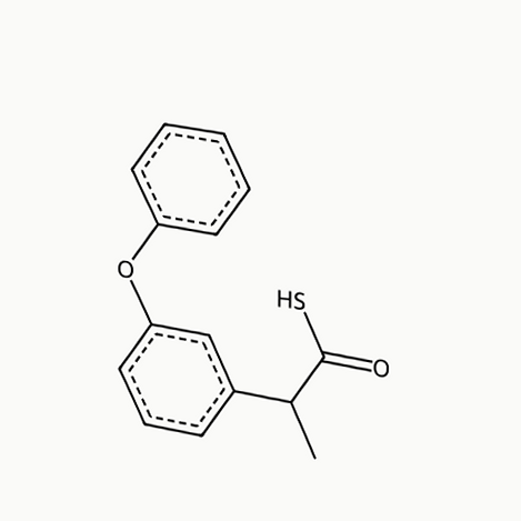 CC(C(=O)S)c1cccc(Oc2ccccc2)c1